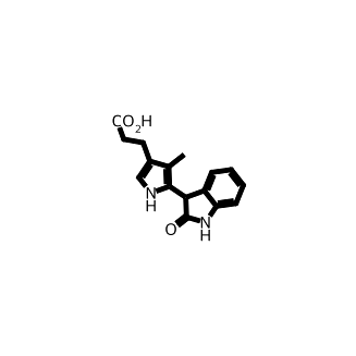 Cc1c(CCC(=O)O)c[nH]c1C1C(=O)Nc2ccccc21